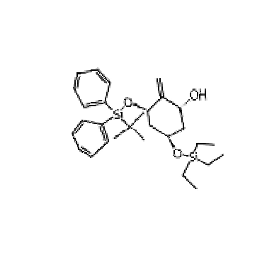 C=C1[C@H](O)C[C@@H](O[Si](CC)(CC)CC)C[C@H]1O[Si](c1ccccc1)(c1ccccc1)C(C)(C)C